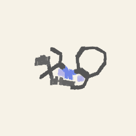 C=C/C1=C(\N=C(/C=C)C(C)(CCCC)CCCCCC)CCCCCC1